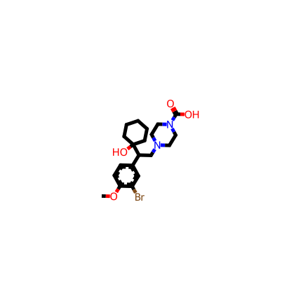 COc1ccc(C(CN2CCN(C(=O)O)CC2)C2(O)CCCCC2)cc1Br